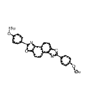 CC(C)(C)Oc1ccc(-c2nc3c(ccc4c3ccc3oc(-c5ccc(OC(C)(C)C)cc5)nc34)o2)cc1